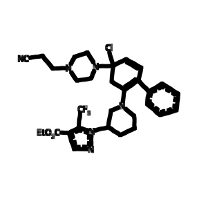 CCOC(=O)c1cnn(C2CCCN(C3=C(c4ccccc4)C=CC(Cl)(N4CCN(CCC#N)CC4)C3)C2)c1C(F)(F)F